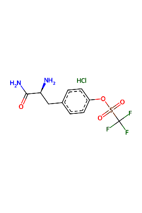 Cl.NC(=O)[C@@H](N)Cc1ccc(OS(=O)(=O)C(F)(F)F)cc1